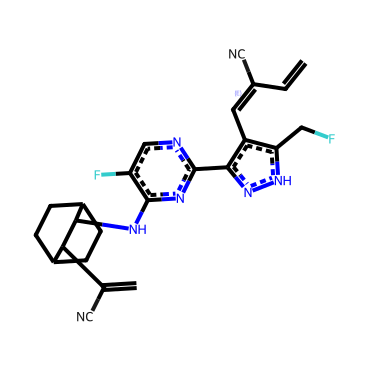 C=C/C(C#N)=C\c1c(-c2ncc(F)c(NC3C4CCC(CC4)C3C(=C)C#N)n2)n[nH]c1CF